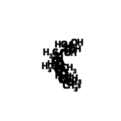 CC(CCC(O)C(O)C(O)CO)[C@H]1CC[C@]2(C)[C@H]3C=C[C@@H]4[C@@]5(C)CCC(C)C(C)(C)[C@@H]5CC[C@@]4(C)[C@]3(C)CC[C@@H]12